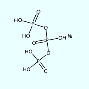 O=P(O)(O)OP(=O)(O)OP(=O)(O)O.[Ni]